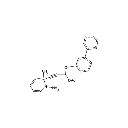 CC(=O)OC(C#CC1(C)C=CC=CN1N)Oc1cccc(-c2ccccc2)c1